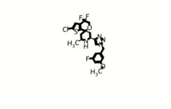 COc1cc(F)cc(Cn2cc([C@@H]3C[C@]4(C[C@H](C)N3)OCC(F)(F)c3cc(Cl)sc34)nn2)c1